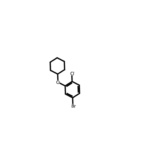 Clc1ccc(Br)cc1OC1CCCCC1